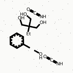 CCC(CO)(CO)CO.CO.Cc1ccccc1.N=C=O.N=C=O